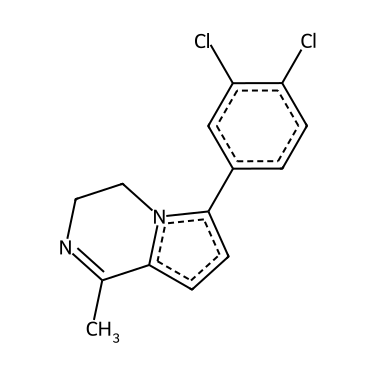 CC1=NCCn2c1ccc2-c1ccc(Cl)c(Cl)c1